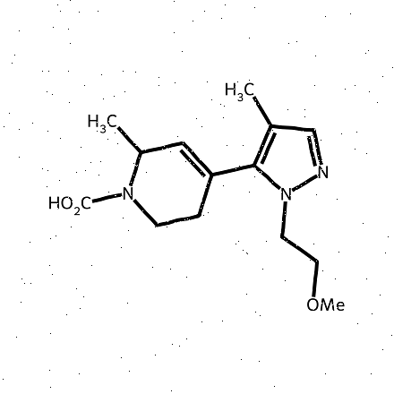 COCCn1ncc(C)c1C1=CC(C)N(C(=O)O)CC1